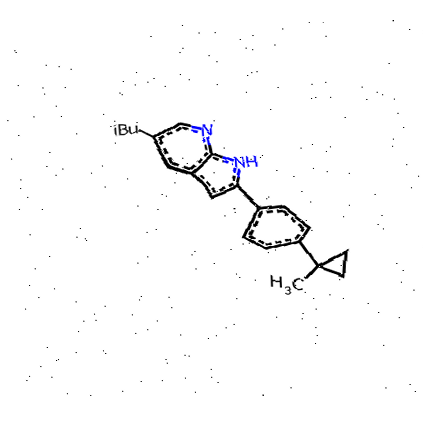 CCC(C)c1cnc2[nH]c(-c3ccc(C4(C)CC4)cc3)cc2c1